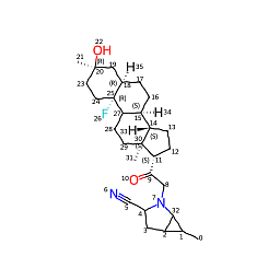 CC1C2CC(C#N)N(CC(=O)[C@H]3CC[C@H]4[C@@H]5CC[C@@H]6C[C@](C)(O)CC[C@]6(F)C5CC[C@]34C)C12